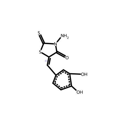 NN1C(=O)/C(=C\c2ccc(O)c(O)c2)SC1=S